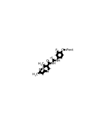 CCCCCOc1ccc(NC(=S)NC(=O)c2cnc3cc(C)nn3c2C)cc1F